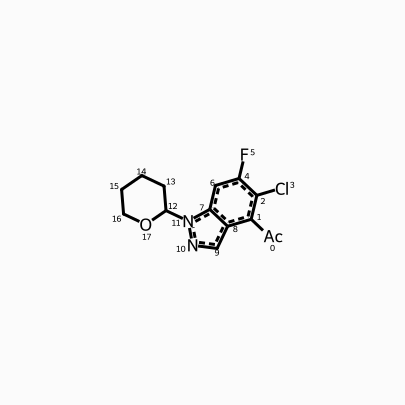 CC(=O)c1c(Cl)c(F)cc2c1cnn2C1CCCCO1